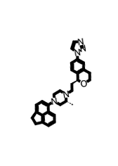 C[C@@H]1CN(c2ccc3c4c(cccc24)CC3)CCN1CC[C@@H]1OCCc2cc(-n3ccnn3)ccc21